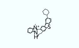 C=CCc1cc2sc3ccc(C4CCCCC4)cc3c2cc1-c1[nH]c2ccccc2[n+]1C